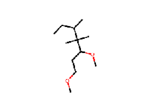 CCC(C)C(C)(C)C(CCOC)OC